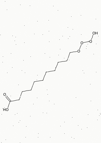 O=C(O)CCCCCCCCCCOOOO